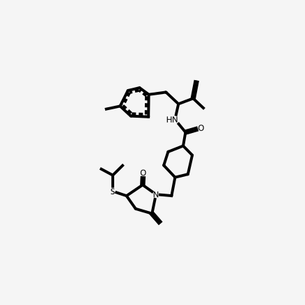 C=C(C)C(Cc1ccc(C)cc1)NC(=O)C1CCC(CN2C(=C)CC(SC(C)C)C2=O)CC1